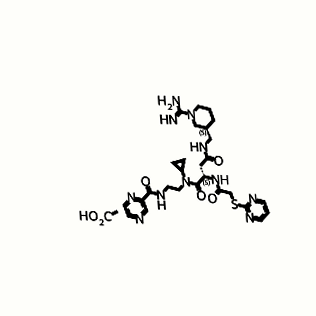 CC(=O)O.N=C(N)N1CCC[C@@H](CNC(=O)C[C@H](NC(=O)CSc2ncccn2)C(=O)N(CCNC(=O)c2cnccn2)C2CC2)C1